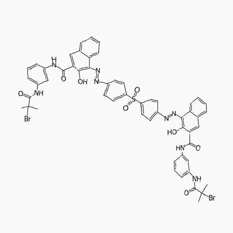 CC(C)(Br)C(=O)Nc1cccc(NC(=O)c2cc3ccccc3c(N=Nc3ccc(S(=O)(=O)c4ccc(N=Nc5c(O)c(C(=O)Nc6cccc(NC(=O)C(C)(C)Br)c6)cc6ccccc56)cc4)cc3)c2O)c1